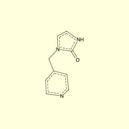 O=c1[nH]ccn1Cc1ccncc1